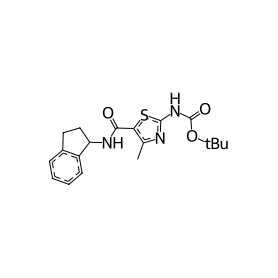 Cc1nc(NC(=O)OC(C)(C)C)sc1C(=O)NC1CCc2ccccc21